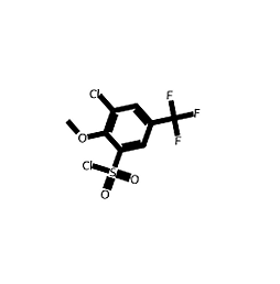 COc1c(Cl)cc(C(F)(F)F)cc1S(=O)(=O)Cl